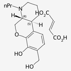 CCCN1CCC[C@H]2c3ccc(CO)c(O)c3OC[C@@H]21.O=C(O)C=CC(=O)O